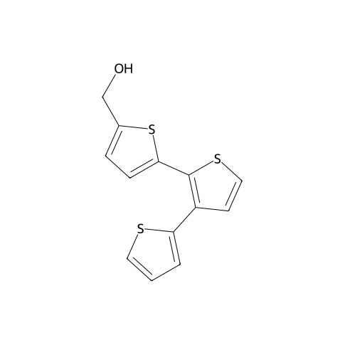 OCc1ccc(-c2sccc2-c2cccs2)s1